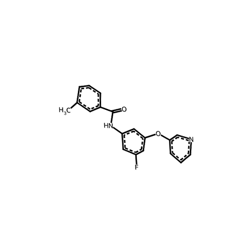 Cc1cccc(C(=O)Nc2cc(F)cc(Oc3cccnc3)c2)c1